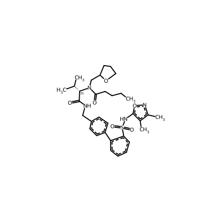 CCCCC(=O)N(CC1CCCO1)[C@H](C(=O)NCc1ccc(-c2ccccc2S(=O)(=O)Nc2onc(C)c2C)cc1)C(C)C